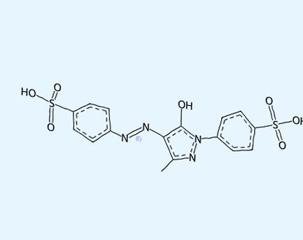 Cc1nn(-c2ccc(S(=O)(=O)O)cc2)c(O)c1/N=N/c1ccc(S(=O)(=O)O)cc1